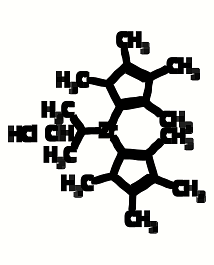 CC1=C(C)C(C)[C]([Zr]([C]2=C(C)C(C)=C(C)C2C)[CH](C)C)=C1C.Cl.Cl